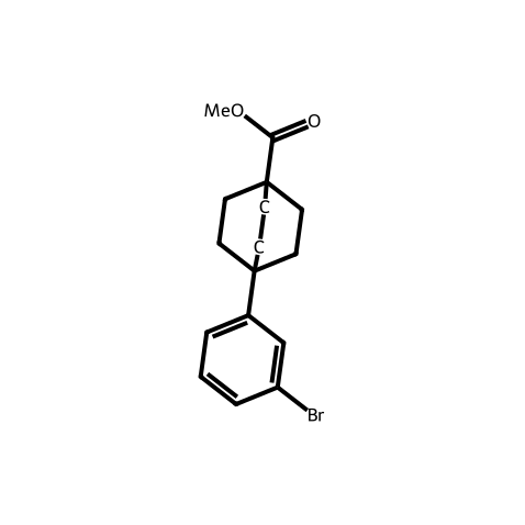 COC(=O)C12CCC(c3cccc(Br)c3)(CC1)CC2